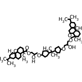 CC(C)C1CCC2=C(CCC3C(C)(C(=O)OCC(O)COC4CCC(C(C)(C)C5CCC(OCC(O)COC(=O)C6(C)CCCC7(C)C8=C(CCC67)CC(C(C)C)CC8)CC5)CC4)CCCC23C)C1